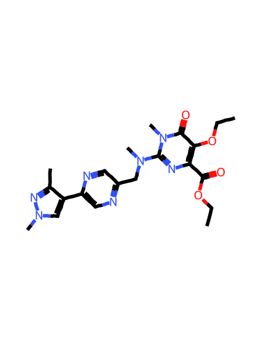 CCOC(=O)c1nc(N(C)Cc2cnc(-c3cn(C)nc3C)cn2)n(C)c(=O)c1OCC